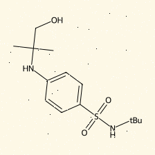 CC(C)(C)NS(=O)(=O)c1ccc(NC(C)(C)CO)cc1